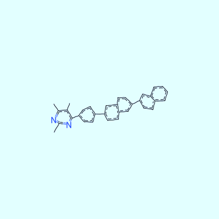 Cc1nc(C)c(C)c(-c2ccc(-c3ccc4cc(-c5ccc6ccccc6c5)ccc4c3)cc2)n1